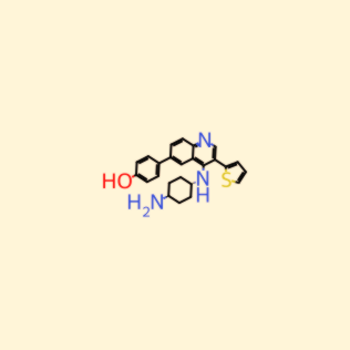 N[C@H]1CC[C@H](Nc2c(-c3cccs3)cnc3ccc(-c4ccc(O)cc4)cc23)CC1